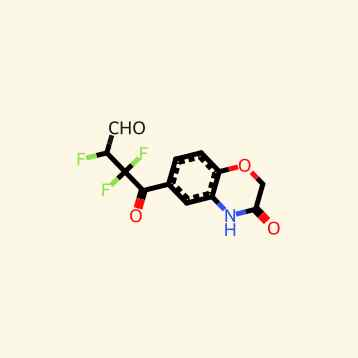 O=CC(F)C(F)(F)C(=O)c1ccc2c(c1)NC(=O)CO2